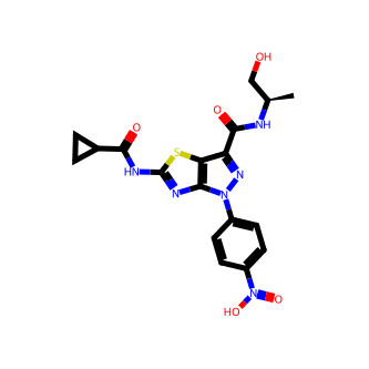 C[C@H](CO)NC(=O)c1nn(-c2ccc([N+](=O)O)cc2)c2nc(NC(=O)C3CC3)sc12